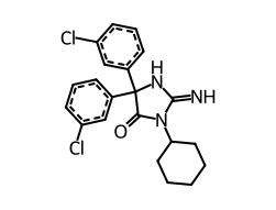 N=C1NC(c2cccc(Cl)c2)(c2cccc(Cl)c2)C(=O)N1C1CCCCC1